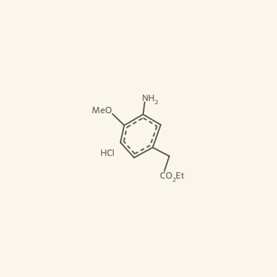 CCOC(=O)Cc1ccc(OC)c(N)c1.Cl